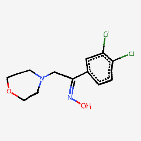 ON=C(CN1CCOCC1)c1ccc(Cl)c(Cl)c1